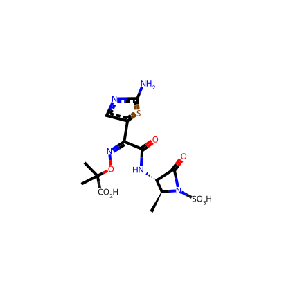 C[C@H]1[C@H](NC(=O)/C(=N\OC(C)(C)C(=O)O)c2cnc(N)s2)C(=O)N1S(=O)(=O)O